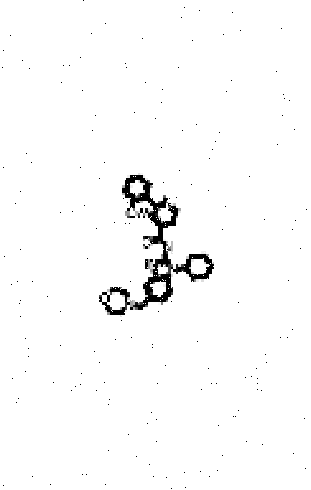 COc1ccccc1-c1cc(C(=O)/N=c2\[nH]c3cc(CN4CCOCC4)ccc3n2C2CCCCC2)ccn1